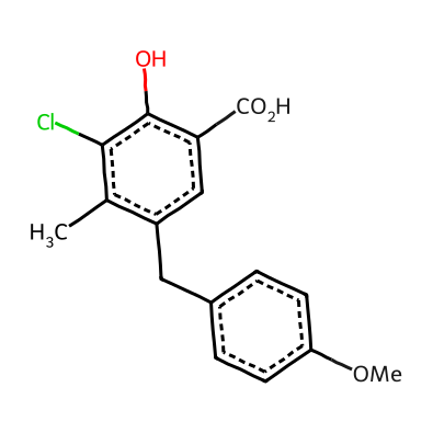 COc1ccc(Cc2cc(C(=O)O)c(O)c(Cl)c2C)cc1